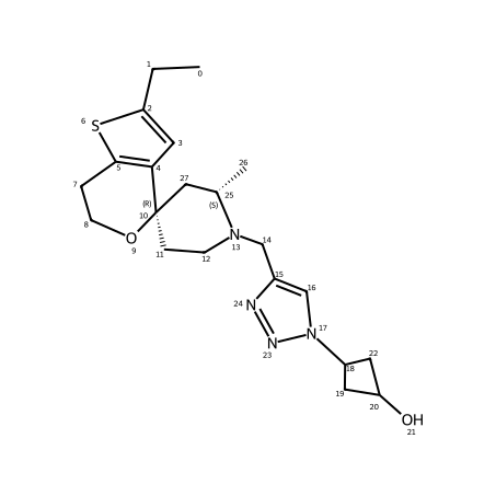 CCc1cc2c(s1)CCO[C@@]21CCN(Cc2cn(C3CC(O)C3)nn2)[C@@H](C)C1